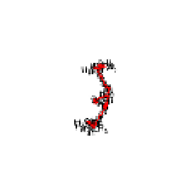 CC(C)C(=O)[C@H](C)NC(=O)[C@@H](NC(=O)CCOCCOCCOCCn1cc(CNC(=O)[C@H](CCC(=O)NCc2cn(CCOCCOCCOCCC(=O)N[C@H](C(=O)N[C@@H](C)C(=O)C(C)(C)C)C(C)C)nn2)NC(=O)CCCCCN2C(=O)C=CC2=O)nn1)C(C)C